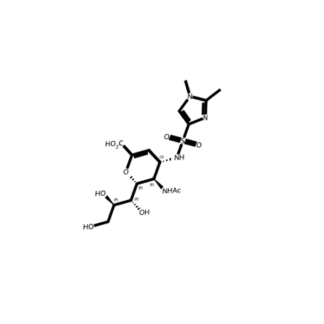 CC(=O)N[C@H]1[C@H]([C@H](O)[C@H](O)CO)OC(C(=O)O)=C[C@@H]1NS(=O)(=O)c1cn(C)c(C)n1